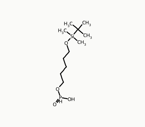 CC(C)(C)[Si](C)(C)OCCCCCO[PH](=O)O